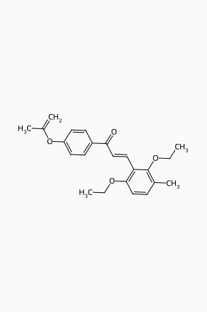 C=C(C)Oc1ccc(C(=O)C=Cc2c(OCC)ccc(C)c2OCC)cc1